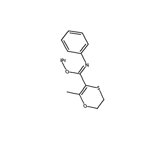 CC1=C(/C(=N/c2ccccc2)OC(C)C)SCCO1